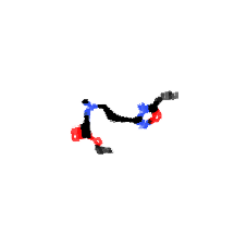 CN(CCc1noc(C(C)(C)C)n1)C(=O)OC(C)(C)C